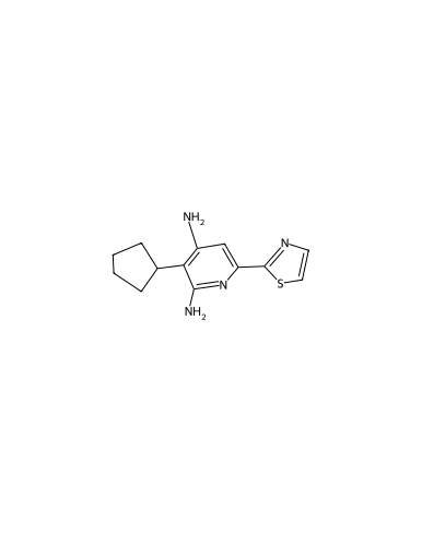 Nc1cc(-c2nccs2)nc(N)c1C1CCCC1